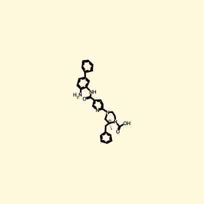 C[C@]1(Cc2ccccc2)CN(c2ccc(C(=O)Nc3cc(-c4ccccc4)ccc3N)cn2)CCN1C(=O)O